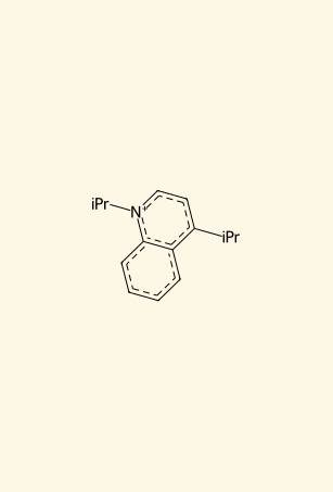 CC(C)c1cc[n+](C(C)C)c2ccccc12